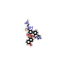 CN(C)CCNC(=O)c1cccc(S(=O)(=O)Cc2c(O[C@H](Cn3ccnc3)c3ccccc3)ccc3c2CCCC3=O)c1